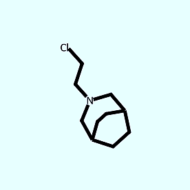 ClCCN1CC2CCC(CC2)C1